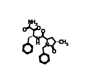 C[C@H]1CC(C(=O)N[C@H](Cc2ccccc2)C(=O)C(N)=O)N(Cc2ccccc2)C1=O